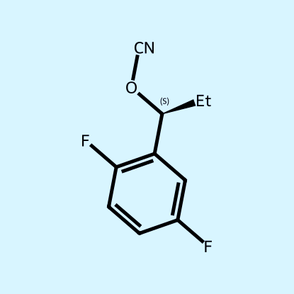 CC[C@H](OC#N)c1cc(F)ccc1F